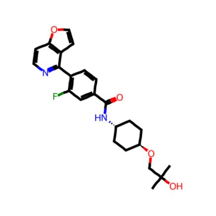 CC(C)(O)CO[C@H]1CC[C@H](NC(=O)c2ccc(-c3nccc4occc34)c(F)c2)CC1